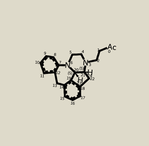 CC(=O)CCN1CCN2c3ccccc3Cc3cccc4c3[C@H]2[C@@H]1C4